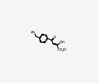 CCOC(=O)/C(O)=C/C(=O)c1ccc(CC(C)C)cc1